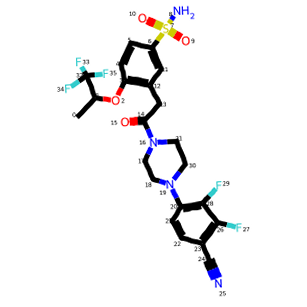 CC(Oc1ccc(S(N)(=O)=O)cc1CC(=O)N1CCN(c2ccc(C#N)c(F)c2F)CC1)C(F)(F)F